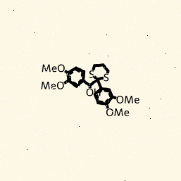 COc1ccc(C(O)C2(c3ccc(OC)c(OC)c3)SCCCS2)cc1OC